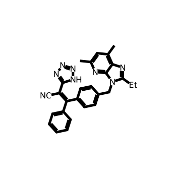 CCc1nc2c(C)cc(C)nc2n1Cc1ccc(C(=C(C#N)c2nnn[nH]2)c2ccccc2)cc1